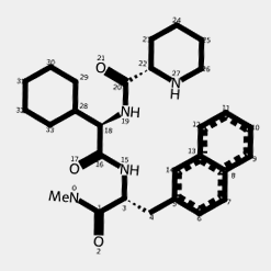 CNC(=O)[C@@H](Cc1ccc2ccccc2c1)NC(=O)[C@H](NC(=O)[C@@H]1CCCCN1)C1CCCCC1